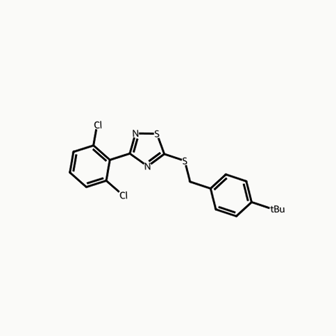 CC(C)(C)c1ccc(CSc2nc(-c3c(Cl)cccc3Cl)ns2)cc1